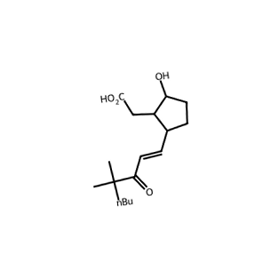 CCCCC(C)(C)C(=O)/C=C/C1CCC(O)C1CC(=O)O